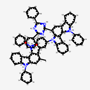 Cc1cc2c(c3ccccc3n2-c2ccccc2)c2c1c1cc(-n3c4ccccc4c4c3c(-c3nc(-c5ccccc5)nc(-c5ccccc5)n3)cc3c5ccccc5n(-c5ccccc5)c34)ccc1n2-c1ccccc1